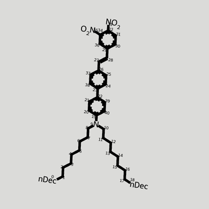 CCCCCCCCCCCCCCCCCCN(CCCCCCCCCCCCCCCCCC)c1ccc(-c2ccc(/C=C/c3ccc([N+](=O)[O-])c([N+](=O)[O-])c3)cc2)cc1